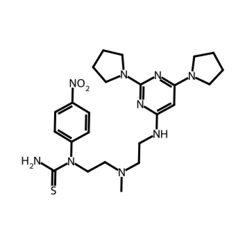 CN(CCNc1cc(N2CCCC2)nc(N2CCCC2)n1)CCN(C(N)=S)c1ccc([N+](=O)[O-])cc1